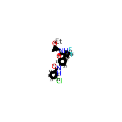 CCO[C@H]1C[C@H]1NC(=O)C1(c2ccc(NC(=O)c3cccc(Cl)c3)cc2)CC(F)(F)C1